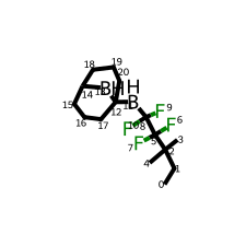 CCC(C)(C)C(F)(F)C(F)(F)BC12BC(CCC1)CCC2